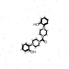 O=C(N1CCN(c2ccccc2O)CC1)N1CCN(c2ccccc2O)CC1